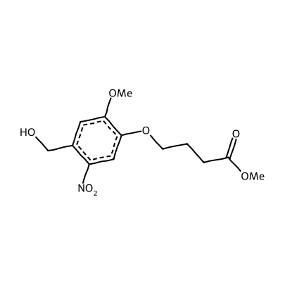 COC(=O)CCCOc1cc([N+](=O)[O-])c(CO)cc1OC